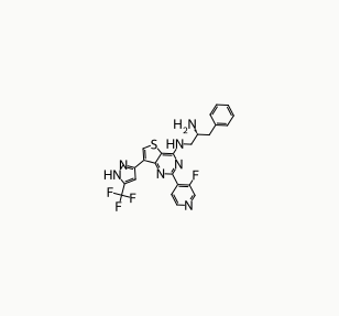 N[C@H](CNc1nc(-c2ccncc2F)nc2c(-c3cc(C(F)(F)F)[nH]n3)csc12)Cc1ccccc1